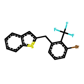 FC(F)(F)c1c(Br)cccc1Cc1cc2ccccc2s1